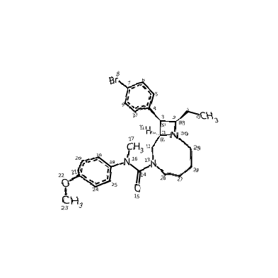 CC[C@@H]1[C@H](c2ccc(Br)cc2)[C@@H]2CN(C(=O)N(C)c3ccc(OC)cc3)CCCCN12